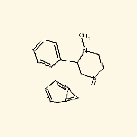 CN1CCNCC1c1ccccc1.c1cc2cc-2c1